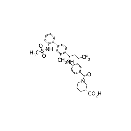 Cc1cc(-c2ccccc2NS(C)(=O)=O)ccc1C(CCC(F)(F)F)Nc1ccc(C(=O)N2CCC[C@@H](C(=O)O)C2)cc1